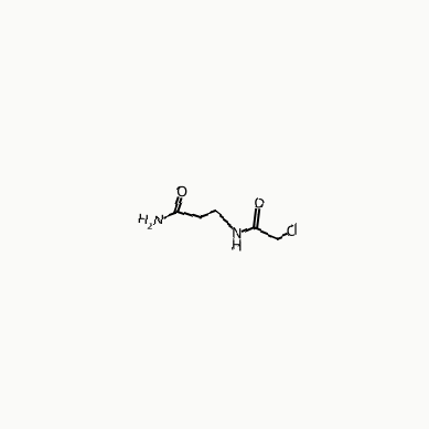 NC(=O)CCNC(=O)CCl